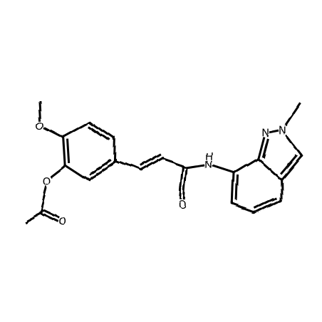 COc1ccc(C=CC(=O)Nc2cccc3cn(C)nc23)cc1OC(C)=O